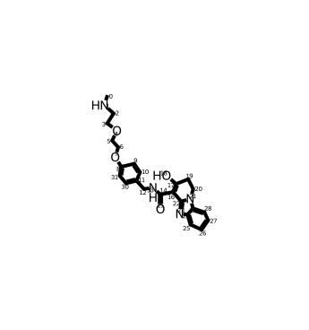 CNCCOCCOc1ccc(CNC(=O)C2=C(O)CCn3c2nc2ccccc23)cc1